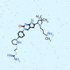 C[C@@H](N)CCCN1CC(C)(C)CC1c1cc2cn(-c3ccc([C@@H]4CCC[C@@H](CCSC(=N)N)N4)cc3)c(=O)nc2[nH]1